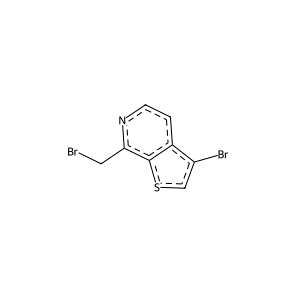 BrCc1nccc2c(Br)csc12